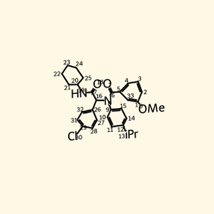 COc1cccc(C(=O)N(c2ccc(C(C)C)cc2)C(C(=O)NC2CCCCC2)c2ccc(Cl)cc2)c1